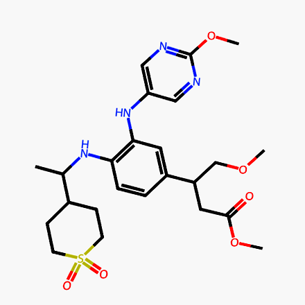 COCC(CC(=O)OC)c1ccc(NC(C)C2CCS(=O)(=O)CC2)c(Nc2cnc(OC)nc2)c1